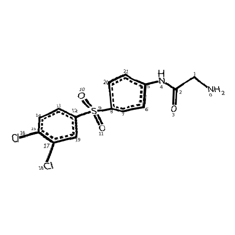 NCC(=O)Nc1ccc(S(=O)(=O)c2ccc(Cl)c(Cl)c2)cc1